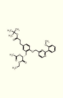 CCOC(=O)[C@@H](Cc1cc(CCC(=O)OC(C)(C)C)ccc1OCc1ccnc(-c2ccccc2OC)n1)OC(C)=O